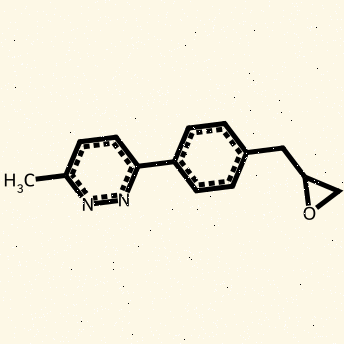 Cc1ccc(-c2ccc(CC3CO3)cc2)nn1